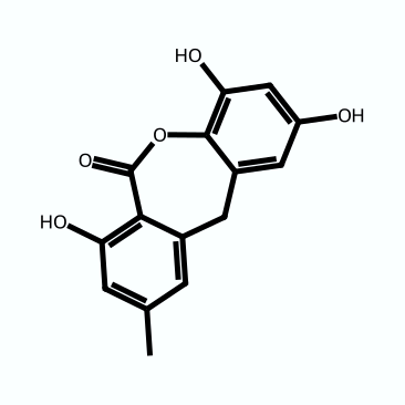 Cc1cc(O)c2c(c1)Cc1cc(O)cc(O)c1OC2=O